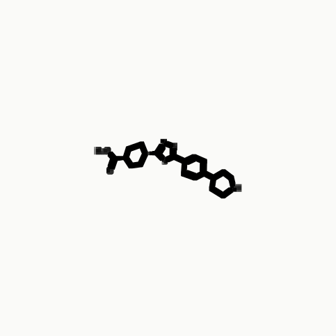 CC(C)COC(=O)[C@H]1CC[C@H](c2nnc(-c3ccc(C4CCNCC4)cc3)s2)CC1